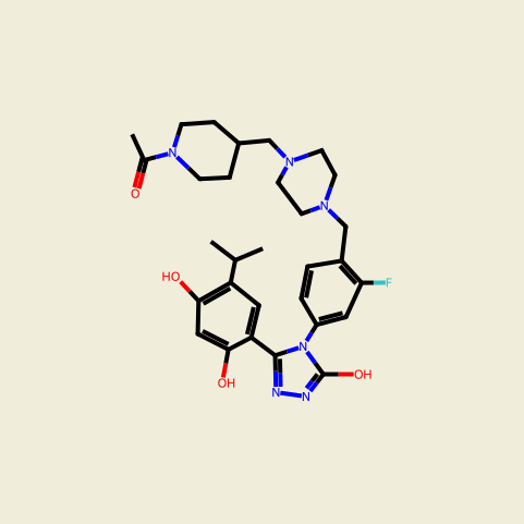 CC(=O)N1CCC(CN2CCN(Cc3ccc(-n4c(O)nnc4-c4cc(C(C)C)c(O)cc4O)cc3F)CC2)CC1